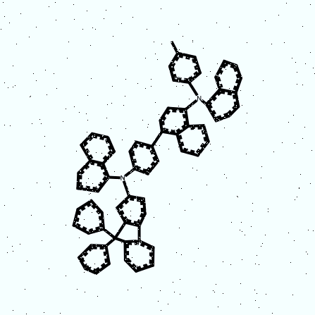 Cc1ccc(N(c2cccc3ccccc23)c2ccc(-c3ccc(N(c4ccc5c(c4)C(c4ccccc4)(c4ccccc4)c4ccccc4-5)c4cccc5ccccc45)cc3)c3ccccc23)cc1